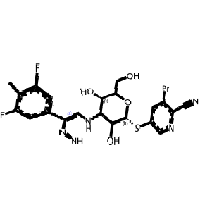 Cc1c(F)cc(/C(=C/NC2C(O)[C@@H](Sc3cnc(C#N)c(Br)c3)OC(CO)[C@@H]2O)N=N)cc1F